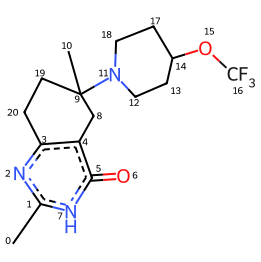 Cc1nc2c(c(=O)[nH]1)CC(C)(N1CCC(OC(F)(F)F)CC1)CC2